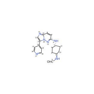 O=CN[C@H]1CC[C@H](Nc2ccc3ncc(-c4ccncc4)n3n2)CC1